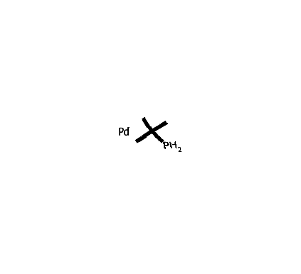 CC(C)(C)P.[Pd]